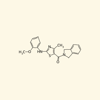 COc1ccccc1Nc1nc(C)c(C(=O)N2Cc3ccccc3C2)s1